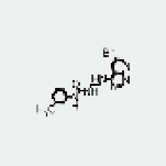 Cc1cccc(NC(=O)NCCNc2ncnc3ncc(Br)cc23)c1